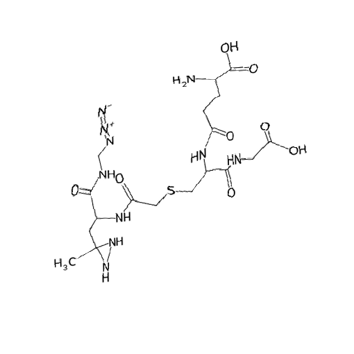 CC1(CC(NC(=O)CSCC(NC(=O)CCC(N)C(=O)O)C(=O)NCC(=O)O)C(=O)NCN=[N+]=[N-])NN1